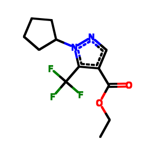 CCOC(=O)c1cnn(C2CCCC2)c1C(F)(F)F